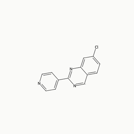 Clc1ccc2[c]nc(-c3ccncc3)nc2c1